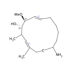 CO[C@H]1/C=C/CCCCC(N)CC/C(C)=C/C(C)[C@@H]1O